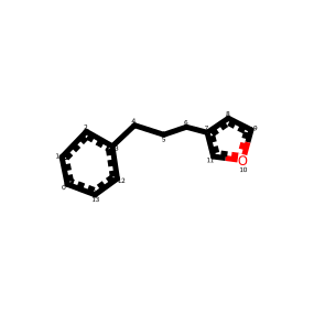 c1ccc(CCCc2ccoc2)cc1